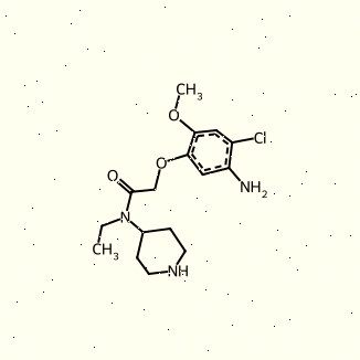 CCN(C(=O)COc1cc(N)c(Cl)cc1OC)C1CCNCC1